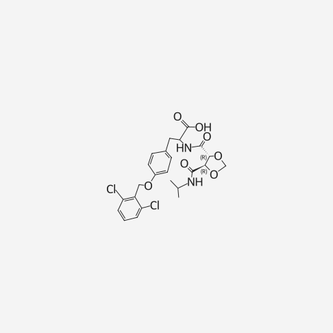 CC(C)NC(=O)[C@@H]1OCO[C@H]1C(=O)NC(Cc1ccc(OCc2c(Cl)cccc2Cl)cc1)C(=O)O